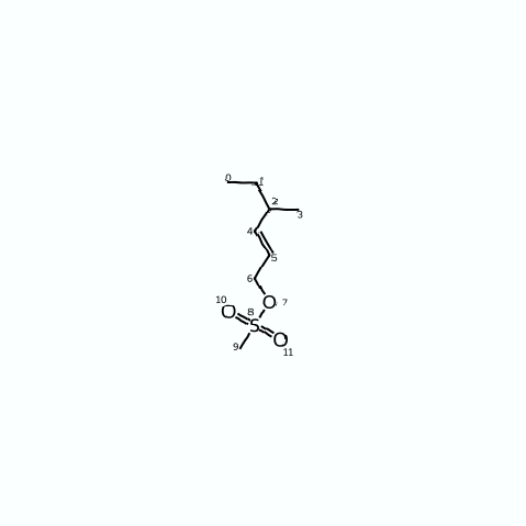 CCC(C)C=CCOS(C)(=O)=O